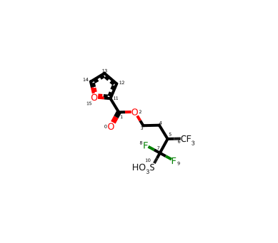 O=C(OCCC(C(F)(F)F)C(F)(F)S(=O)(=O)O)c1ccco1